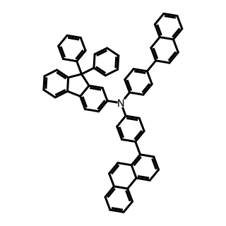 c1ccc(C2(c3ccccc3)c3ccccc3-c3ccc(N(c4ccc(-c5ccc6ccccc6c5)cc4)c4ccc(-c5cccc6c5ccc5ccccc56)cc4)cc32)cc1